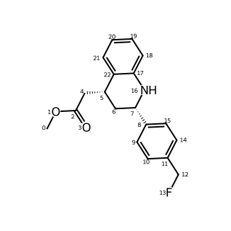 COC(=O)C[C@H]1C[C@@H](c2ccc(CF)cc2)Nc2ccccc21